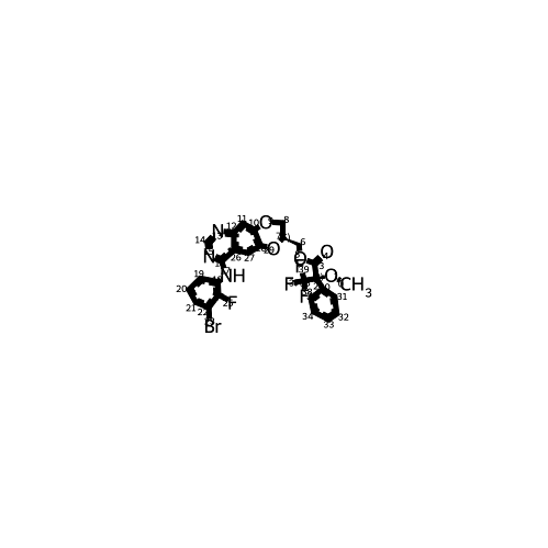 CO[C@@](C(=O)OC[C@@H]1COc2cc3ncnc(Nc4cccc(Br)c4F)c3cc2O1)(c1ccccc1)C(F)(F)F